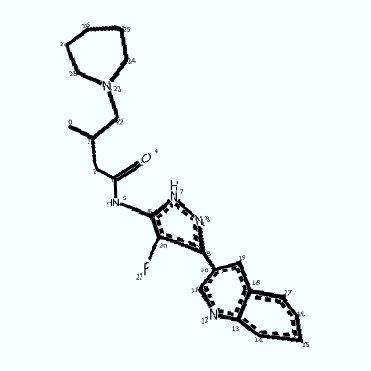 CC(CC(=O)Nc1[nH]nc(-c2cnc3ccccc3c2)c1F)CN1CCCCC1